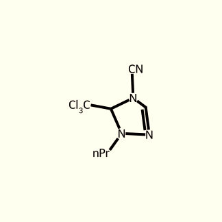 CCCN1N=CN(C#N)C1C(Cl)(Cl)Cl